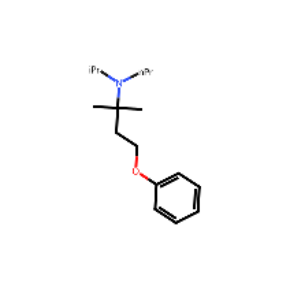 CCCN(C(C)C)C(C)(C)CCOc1ccccc1